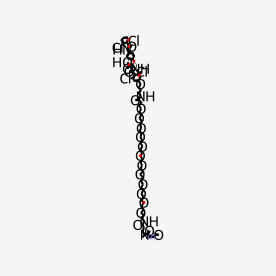 CN(CCC(=O)NCCOCCOCCOCCOCCOCCOCCOCCOCCOCCOCCOCCOCCC(=O)NCCCOc1cc(Cl)c(C(=O)N[C@@H](Cc2ccc(NC(=O)c3c(Cl)cccc3Cl)cc2)C(=O)O)c(Cl)c1)C(=O)/C=C\C=O